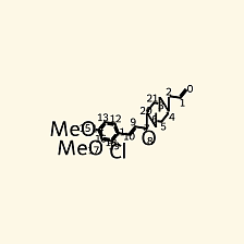 C=CCN1CCN(C(=O)C=Cc2ccc(OC)c(OC)c2Cl)CC1